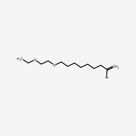 C=C(Br)CCCCCCCOCCOCC